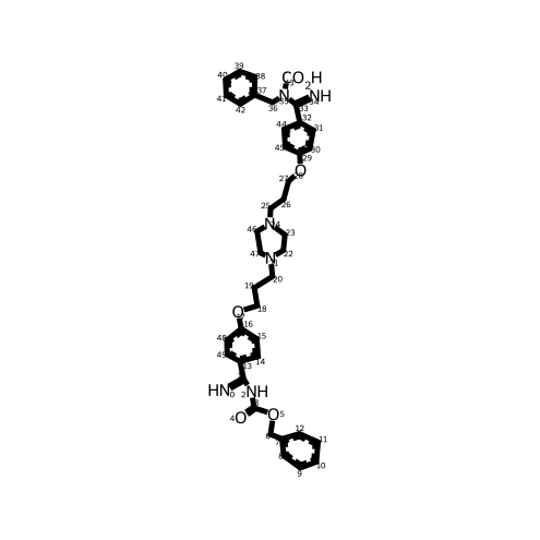 N=C(NC(=O)OCc1ccccc1)c1ccc(OCCCN2CCN(CCCOc3ccc(C(=N)N(Cc4ccccc4)C(=O)O)cc3)CC2)cc1